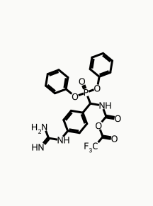 N=C(N)Nc1ccc(C(NC(=O)OC(=O)C(F)(F)F)P(=O)(Oc2ccccc2)Oc2ccccc2)cc1